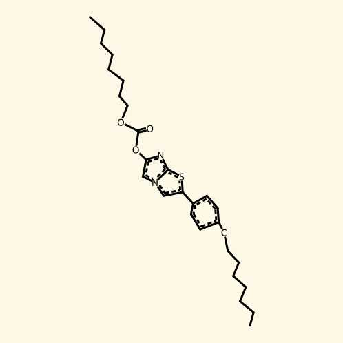 CCCCCCCCOC(=O)Oc1cn2cc(-c3ccc(CCCCCCCC)cc3)sc2n1